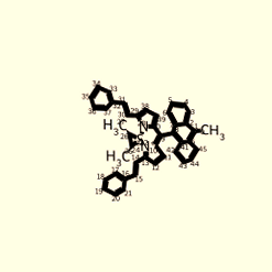 Cc1c2ccccc2c(C2=C3C=CC(/C=C/c4ccccc4)=[N+]3S3([C@H](C)[C@@H]3C)n3c(/C=C/c4ccccc4)ccc32)c2ccccc12